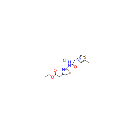 CCOC(=O)Cc1csc(NC(=O)C[n+]2csc(C)c2C)n1.[Cl-]